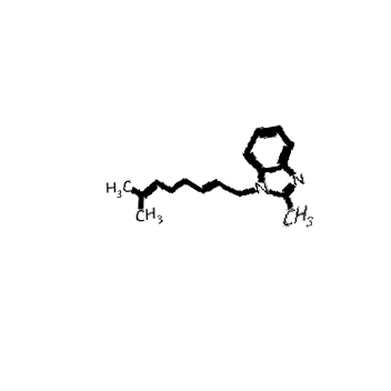 CC(C)=CCC/C=C/Cn1c(C)nc2ccccc21